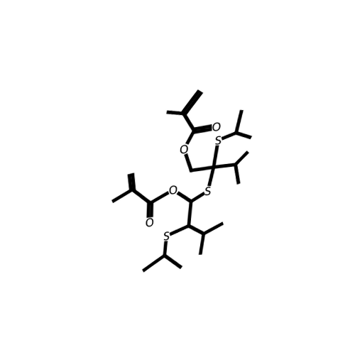 C=C(C)C(=O)OCC(SC(C)C)(SC(OC(=O)C(=C)C)C(SC(C)C)C(C)C)C(C)C